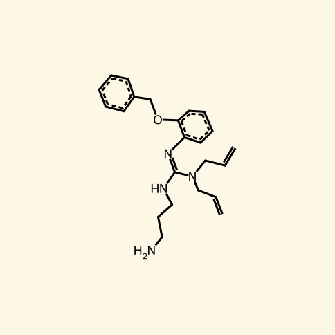 C=CCN(CC=C)/C(=N\c1ccccc1OCc1ccccc1)NCCCN